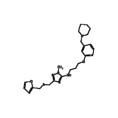 Cn1nc(CSCc2ccco2)nc1NCCCOc1cccc(CN2CCCCC2)c1